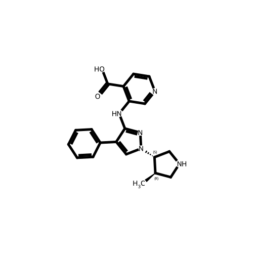 C[C@@H]1CNC[C@H]1n1cc(-c2ccccc2)c(Nc2cnccc2C(=O)O)n1